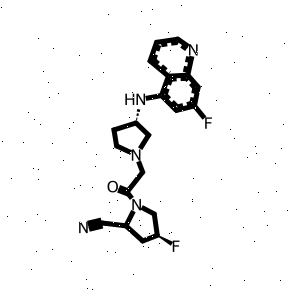 N#CC1C[C@H](F)CN1C(=O)CN1CC[C@H](Nc2cc(F)cc3ncccc23)C1